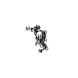 CCn1c(-c2cccnc2[C@H](C)OC)c2c3cc(ccc31)-c1csc(n1)C[C@H](NC(=O)C(C(C)C)N1CC[C@@]3(CCN(C(=O)C#CC(C)(C)N(C)C)C3)C1=O)C(=O)N1CCC[C@H](N1)C(=O)OCC(C)(C)C2